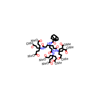 COC(=O)CCC(CCC(=O)OC)(CCC(=O)OC)NC(=O)CCC(CCC(=O)NC(CCC(=O)OC)(CCC(=O)OC)CCC(=O)OC)(CCC(=O)NC(CCC(=O)OC)(CCC(=O)OC)CCC(=O)OC)NC(=O)C12CC3CC(CC(C3)C1)C2